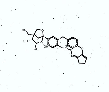 CO/N=C1/CCC=C1Oc1ccc(Cc2cc([C@]34OC[C@](CO)(O3)[C@@H](O)[C@H](O)[C@H]4O)ccc2Cl)cc1